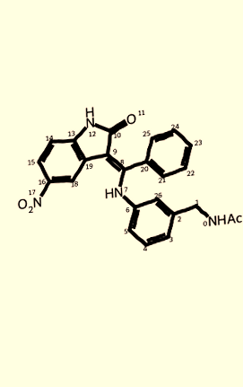 CC(=O)NCc1cccc(NC(=C2C(=O)Nc3ccc([N+](=O)[O-])cc32)c2ccccc2)c1